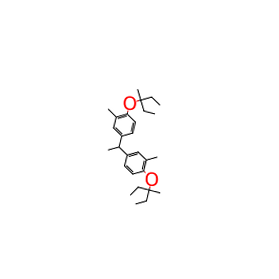 CCC(C)(CC)Oc1ccc(C(C)c2ccc(OC(C)(CC)CC)c(C)c2)cc1C